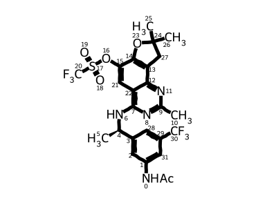 CC(=O)Nc1cc([C@@H](C)Nc2nc(C)nc3c4c(c(OS(=O)(=O)C(F)(F)F)cc23)OC(C)(C)C4)cc(C(F)(F)F)c1